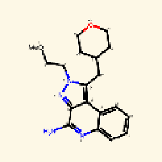 COCCn1nc2c(N)nc3ccccc3c2c1CC1CCOCC1